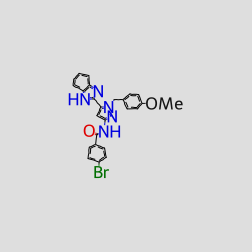 COc1ccc(Cn2nc(NC(=O)c3ccc(Br)cc3)cc2-c2nc3ccccc3[nH]2)cc1